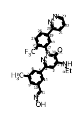 CCNc1cc(-c2cc(C)cc(C=NO)c2)nn(-c2cc(-c3cccnn3)ccc2C(F)(F)F)c1=O